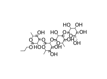 CCCO[C@@H]1OC(C)[C@H](O)[C@H](O[C@@H]2OC(C)[C@H](O)[C@H](O)C2O[C@@H]2OC(C)[C@H](O)[C@H](O[C@H]3O[C@@H](CO)[C@@H](O)C(O)C3O)C2O)C1O